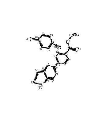 CC(C)(C)OC(=O)c1ccc(-c2ccc3sccc3c2)cc1Nc1ccc(F)cc1